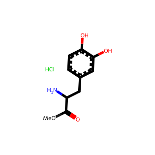 COC(=O)C(N)Cc1ccc(O)c(O)c1.Cl